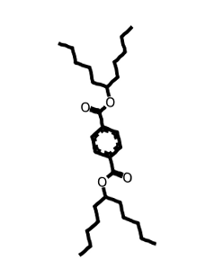 CCCCCC(CCCCC)OC(=O)c1ccc(C(=O)OC(CCCCC)CCCCC)cc1